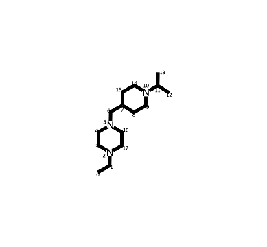 CCN1CCN(CC2CCN(C(C)C)CC2)CC1